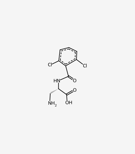 NC[C@H](NC(=O)c1c(Cl)cccc1Cl)C(=O)O